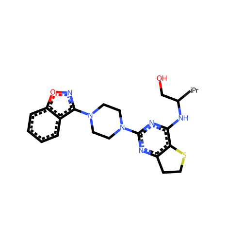 CC(C)C(CO)Nc1nc(N2CCN(c3noc4ccccc34)CC2)nc2c1SCC2